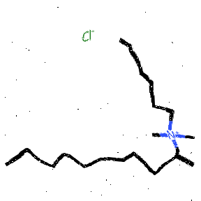 CCCCCCCCCC(C)[N+](C)(C)CCCCCC.[Cl-]